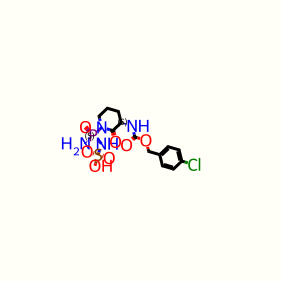 N[P@@](=O)(NS(=O)(=O)O)N1CCC[C@H](NC(=O)OCc2ccc(Cl)cc2)C1=O